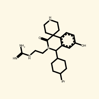 CC(C)C1CCC(C2c3cc(O)ccc3C3(CCNCC3)C(=O)N2CCNC(=N)N)CC1